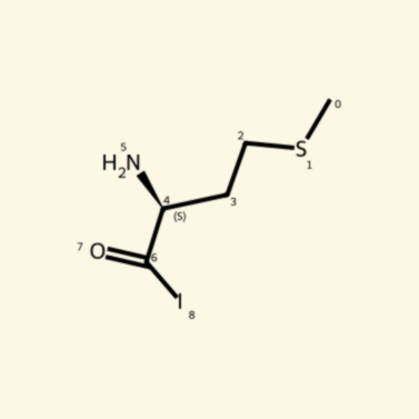 CSCC[C@H](N)C(=O)I